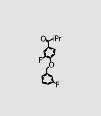 CC(C)C(=O)c1ccc(OCc2cccc(F)c2)c(F)c1